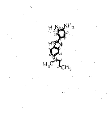 CCCN(C)c1ccc2[nH]c(-c3ccc(N)c(N)c3)nc2c1